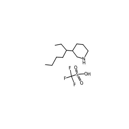 CCCCC(CC)C1CCCNC1.O=S(=O)(O)C(F)(F)F